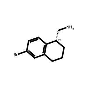 NC[C@@H]1CCCc2cc(Br)ccc21